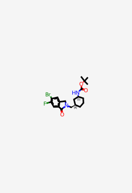 CC(C)(C)OC(=O)N[C@H]1CCC[C@@H](CN2Cc3cc(Br)c(F)cc3C2=O)C1